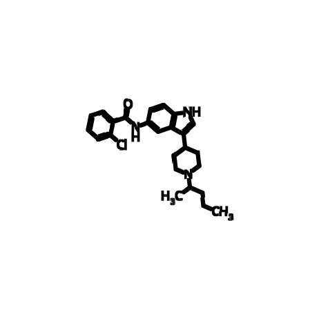 CCCC(C)N1CCC(c2c[nH]c3ccc(NC(=O)c4ccccc4Cl)cc23)CC1